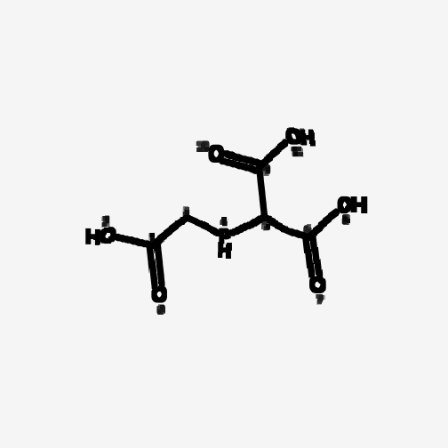 O=C(O)CPC(C(=O)O)C(=O)O